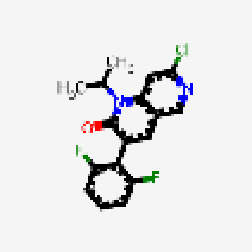 CC(C)n1c(=O)c(-c2c(F)cccc2F)cc2cnc(Cl)cc21